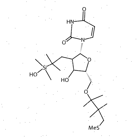 CSCC(C)(C)C(C)(C)OC[C@H]1O[C@@H](n2ccc(=O)[nH]c2=O)C(CC(C)(C)[Si](C)(C)O)C1O